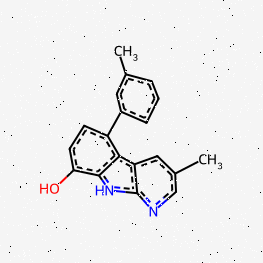 Cc1cccc(-c2ccc(O)c3[nH]c4ncc(C)cc4c23)c1